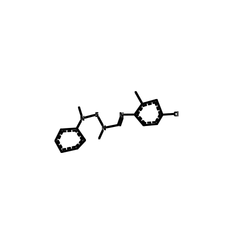 Cc1cc(Cl)ccc1N=CN(C)SN(C)c1ccccc1